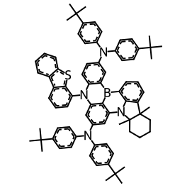 CC(C)(C)c1ccc(N(c2ccc(C(C)(C)C)cc2)c2ccc3c(c2)B2c4cccc5c4N(c4cc(N(c6ccc(C(C)(C)C)cc6)c6ccc(C(C)(C)C)cc6)cc(c42)N3c2cccc3c2sc2ccccc23)C2(C)CCCCC52C)cc1